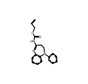 C=CCOC(=O)NC1=Nc2ccccc2N(c2ccccc2)CC1